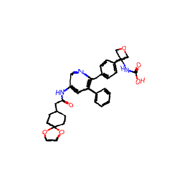 O=C(O)NC1(c2ccc(-c3ncc(NC(=O)CC4CCC5(CC4)OCCO5)cc3-c3ccccc3)cc2)COC1